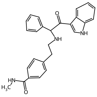 CNC(=O)c1ccc(CCNC(C(=O)c2c[nH]c3ccccc23)c2ccccc2)cc1